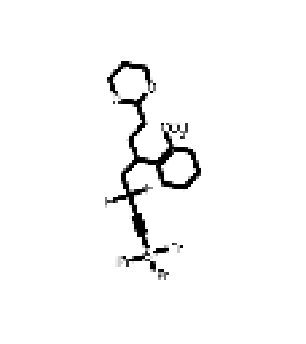 CC(C)[Si](C#CC(F)(F)CC(CCC1OCCCO1)C1=C(C(=O)O)CCCC1)(C(C)C)C(C)C